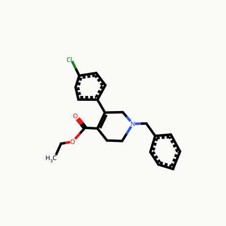 CCOC(=O)C1=C(c2ccc(Cl)cc2)CN(Cc2ccccc2)CC1